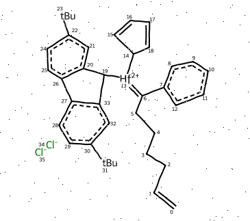 C=CCCCC[C](c1ccccc1)=[Hf+2]([CH]1C=CC=C1)[CH]1c2cc(C(C)(C)C)ccc2-c2ccc(C(C)(C)C)cc21.[Cl-].[Cl-]